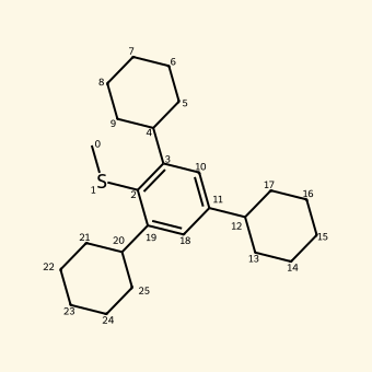 CSc1c(C2CCCCC2)cc(C2CCCCC2)cc1C1CCCCC1